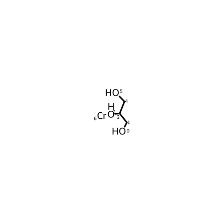 OCC(O)CO.[Cr]